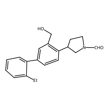 CCc1ccccc1-c1ccc(C2CCN(C=O)C2)c(CO)c1